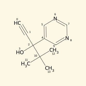 C#CC(O)(c1cncnc1)C(C)(C)C